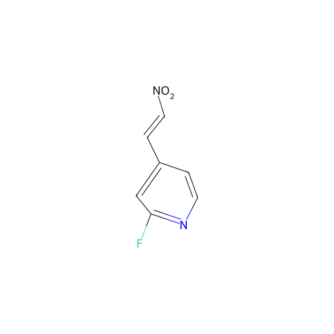 O=[N+]([O-])/C=C/c1ccnc(F)c1